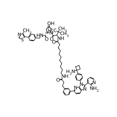 Cc1ncsc1-c1ccc(CNC(=O)[C@@H]2C[C@@H](O)CN2C(=O)C(NC(=O)CCCCCCCCCCNC(=O)CCc2cccc(-c3ccc4nc(-c5cccnc5N)n(-c5ccc(C6(N)CCC6)cc5)c4n3)c2)C(C)(C)C)cc1